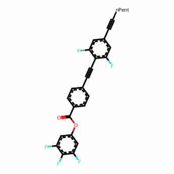 CCCCCC#Cc1cc(F)c(C#Cc2ccc(C(=O)Oc3cc(F)c(F)c(F)c3)cc2)c(F)c1